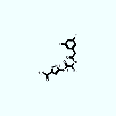 CCC(NC(=O)Cc1cc(F)cc(F)c1)C(=O)Nc1cc(C(N)=O)n[nH]1